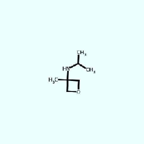 CC(C)NC1(C)COC1